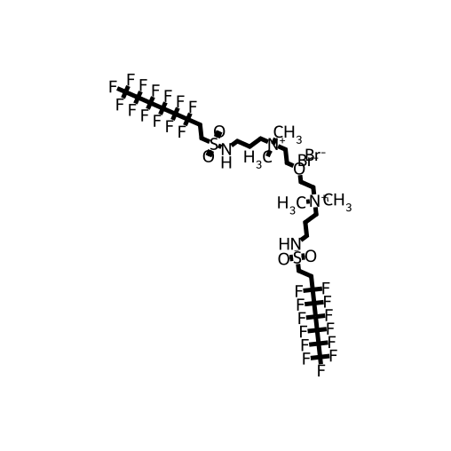 C[N+](C)(CCCNS(=O)(=O)CCC(F)(F)C(F)(F)C(F)(F)C(F)(F)C(F)(F)C(F)(F)F)CCOCC[N+](C)(C)CCCNS(=O)(=O)CCC(F)(F)C(F)(F)C(F)(F)C(F)(F)C(F)(F)C(F)(F)F.[Br-].[Br-]